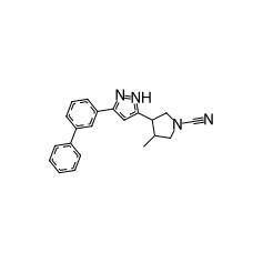 CC1CN(C#N)CC1c1cc(-c2cccc(-c3ccccc3)c2)n[nH]1